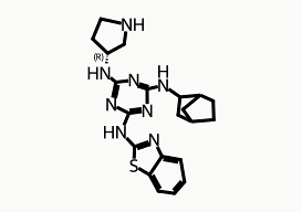 c1ccc2sc(Nc3nc(NC4CC5CCC4C5)nc(N[C@@H]4CCNC4)n3)nc2c1